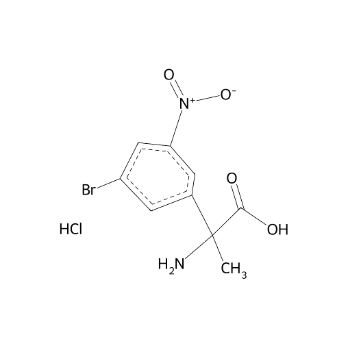 CC(N)(C(=O)O)c1cc(Br)cc([N+](=O)[O-])c1.Cl